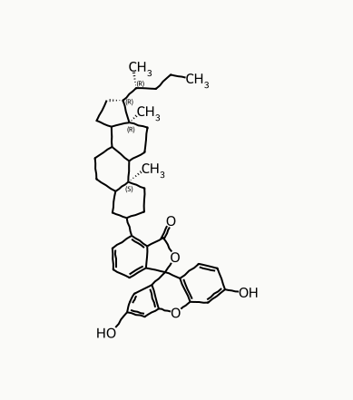 CCC[C@@H](C)[C@H]1CCC2C3CCC4CC(c5cccc6c5C(=O)OC65c6ccc(O)cc6Oc6cc(O)ccc65)CC[C@]4(C)C3CC[C@@]21C